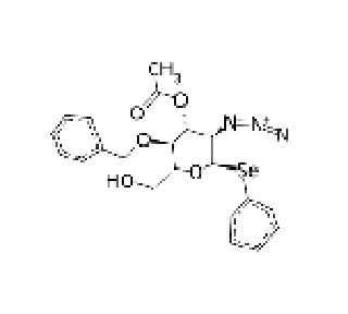 CC(=O)O[C@@H]1[C@@H](N=[N+]=[N-])[C@@H]([Se]c2ccccc2)O[C@H](CO)[C@H]1OCc1ccccc1